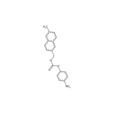 Cc1ccc2cc(COC(=O)Oc3ccc([N+](=O)[O-])cc3)ccc2c1